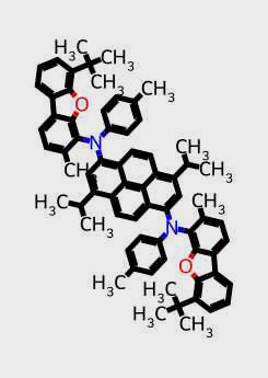 Cc1ccc(N(c2cc(C(C)C)c3ccc4c(N(c5ccc(C)cc5)c5c(C)ccc6c5oc5c(C(C)(C)C)cccc56)cc(C(C)C)c5ccc2c3c54)c2c(C)ccc3c2oc2c(C(C)(C)C)cccc23)cc1